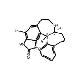 O=c1[nH]c2c(Cl)cc3c(c2[nH]1)[C@H]1c2ccccc2CC[C@@H]1NCC3